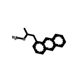 CC(Cc1cccc2cc3ccccc3cc12)O[SiH3]